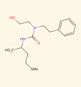 CSCCC(NC(=O)N(CCO)CCc1ccccc1)C(=O)O